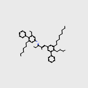 CCCCCCCCc1cc(C=C(C)C(CC)=Nc2cc(CC)c(-c3ccccc3)c(CCCCCC)c2)cc(-c2ccccc2)c1CCCC